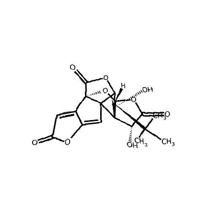 CC(C)(C)[C@@H]1[C@@H](O)C2OC(=O)[C@@]34O[C@@H]5OC(=O)[C@H](O)C51C23C=C1OC(=O)C=C14